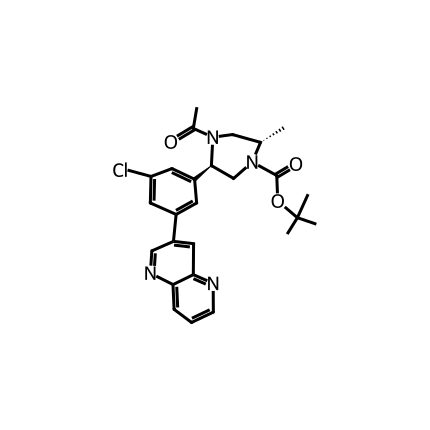 CC(=O)N1C[C@H](C)N(C(=O)OC(C)(C)C)C[C@H]1c1cc(Cl)cc(-c2cnc3cccnc3c2)c1